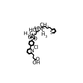 CN(C[C@H](O)CNC(C)(C)CCCc1cccs1)S(=O)(=O)c1ccc(-c2cccc(CCC(=O)O)n2)c(Cl)c1